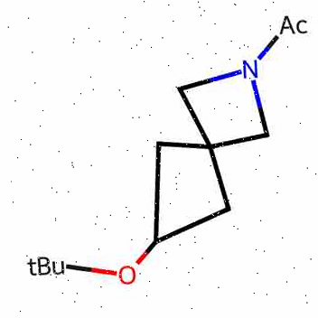 CC(=O)N1CC2(CC(OC(C)(C)C)C2)C1